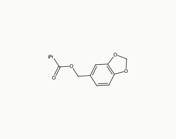 CC(C)C(=O)OCc1ccc2c(c1)OCO2